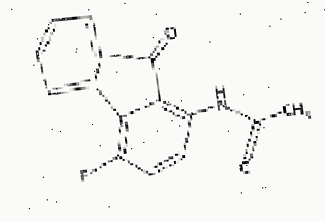 CC(=O)Nc1ccc(F)c2c1C(=O)c1ccccc1-2